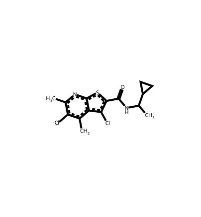 Cc1nc2sc(C(=O)NC(C)C3CC3)c(Cl)c2c(C)c1Cl